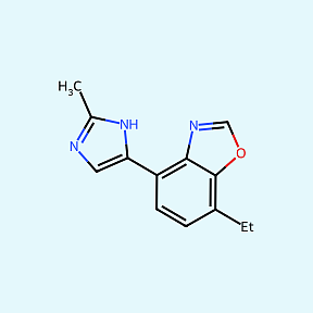 CCc1ccc(-c2cnc(C)[nH]2)c2ncoc12